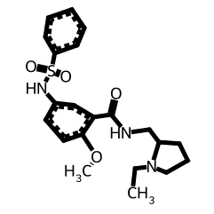 CCN1CCCC1CNC(=O)c1cc(NS(=O)(=O)c2ccccc2)ccc1OC